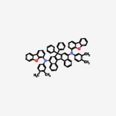 Cc1ccc(N(c2cc3c(c4ccccc24)-c2c(cc(N(c4ccc(C)c(C)c4)c4cccc5c4oc4ccccc45)c4ccccc24)C3(c2ccccc2)c2ccccc2)c2cccc3c2oc2ccccc23)cc1C